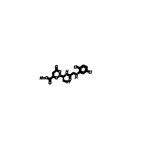 COC(=O)C1CC(=O)OB([C@H](CC(C)C)NC(=O)CNc2cc(Cl)ccc2Cl)O1